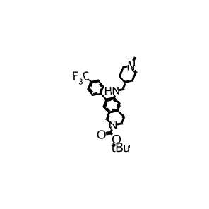 CN1CCC(CNc2cc3c(cc2-c2ccc(C(F)(F)F)cc2)CN(C(=O)OC(C)(C)C)CC3)CC1